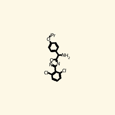 CC(C)Oc1ccc(C(N)c2nc(-c3c(Cl)cccc3Cl)no2)cc1